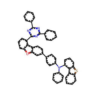 c1ccc(-c2nc(-c3ccccc3)nc(-c3cccc4oc5cc(-c6ccc(N(c7ccccc7)c7cccc8sc9ccccc9c78)cc6)ccc5c34)n2)cc1